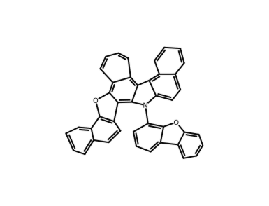 c1ccc2c(c1)ccc1c2oc2c3ccccc3c3c4c5ccccc5ccc4n(-c4cccc5c4oc4ccccc45)c3c12